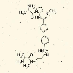 C=N/C=C(\NC1CCCN1C(=O)[C@H](C)N)c1ccc(-c2ccc(-c3cnc(CCCN(C)C(=O)[C@H](C)N)[nH]3)cc2)cc1